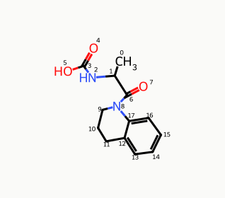 CC(NC(=O)O)C(=O)N1CCCc2ccccc21